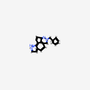 C1=NNc2c3ccc4c-3c(ccc2=C1)CN(Cc1ccccc1)N=4